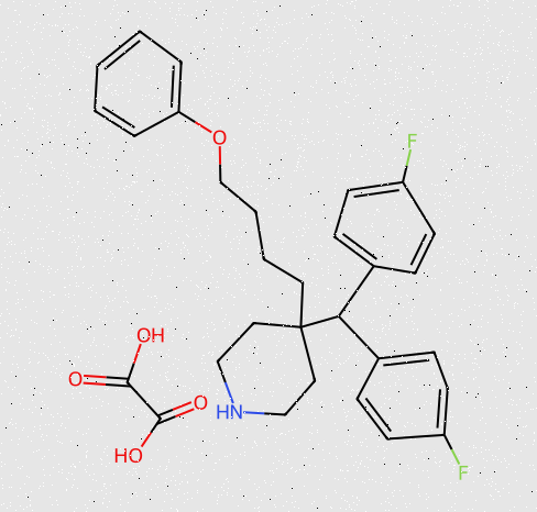 Fc1ccc(C(c2ccc(F)cc2)C2(CCCCOc3ccccc3)CCNCC2)cc1.O=C(O)C(=O)O